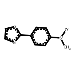 C[S+]([O-])c1ccc(-c2nc[c]s2)cc1